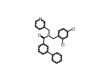 O=C(c1cccc(-c2ccccc2)c1)N(Cc1cccnc1)Cc1ccc(Cl)cc1Cl